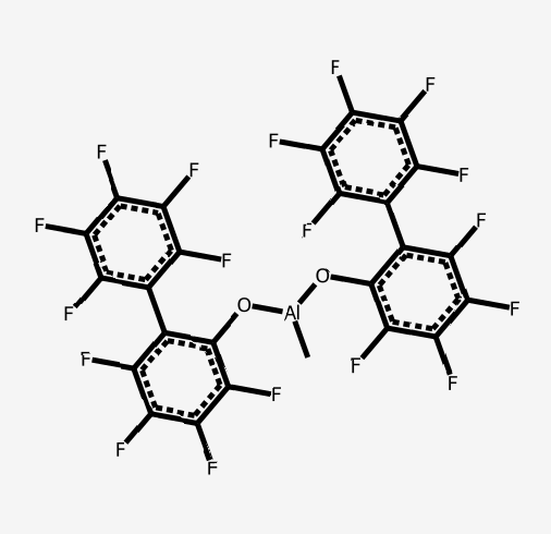 [CH3][Al]([O]c1c(F)c(F)c(F)c(F)c1-c1c(F)c(F)c(F)c(F)c1F)[O]c1c(F)c(F)c(F)c(F)c1-c1c(F)c(F)c(F)c(F)c1F